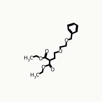 CCOC(=O)C(CCOCCOCc1ccccc1)C(=O)OCC